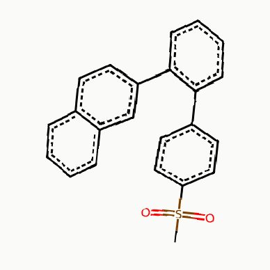 CS(=O)(=O)c1ccc(-c2ccccc2-c2ccc3ccccc3c2)cc1